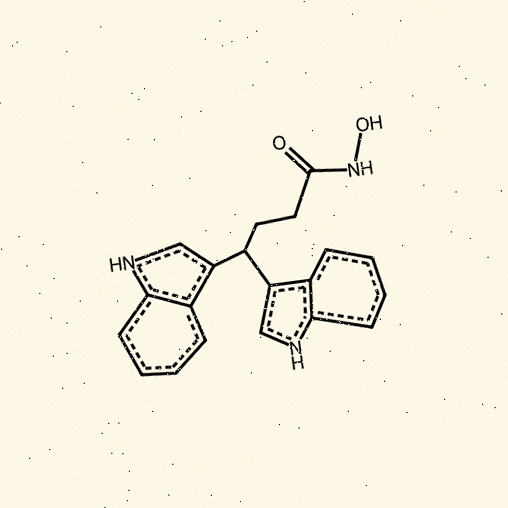 O=C(CCC(c1c[nH]c2ccccc12)c1c[nH]c2ccccc12)NO